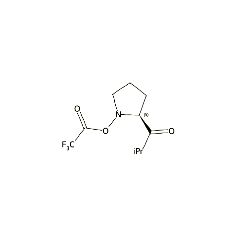 CC(C)C(=O)[C@@H]1CCCN1OC(=O)C(F)(F)F